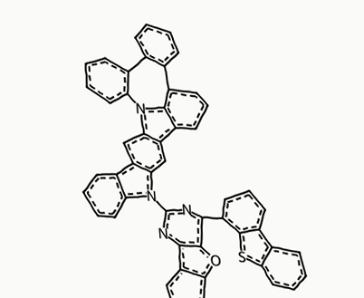 c1ccc2c(c1)-c1ccccc1-n1c3cc4c5ccccc5n(-c5nc(-c6cccc7c6sc6ccccc67)c6oc7ccccc7c6n5)c4cc3c3cccc-2c31